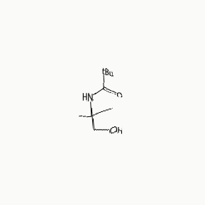 CC(C)(CO)NC(=O)C(C)(C)C